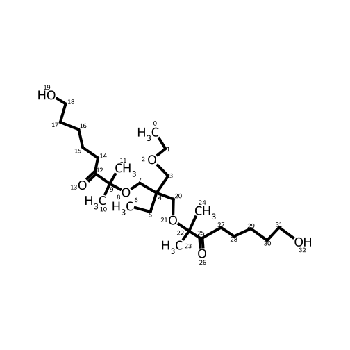 CCOCC(CC)(COC(C)(C)C(=O)CCCCCO)COC(C)(C)C(=O)CCCCCO